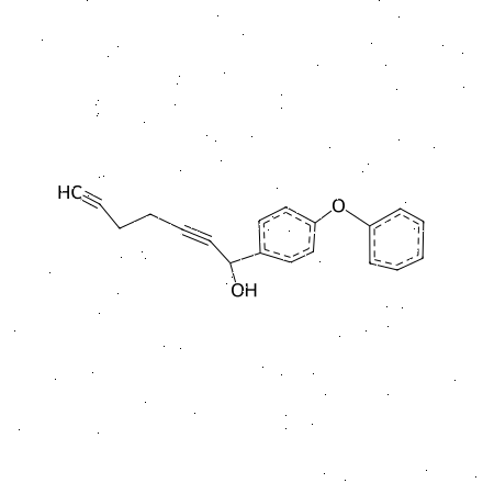 C#CCCC#CC(O)c1ccc(Oc2ccccc2)cc1